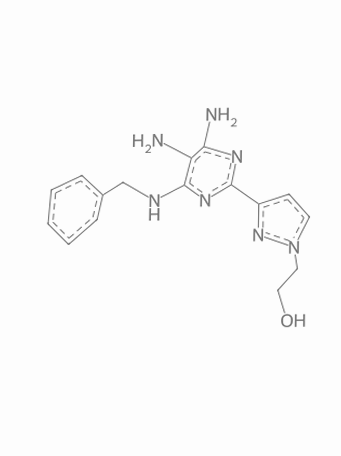 Nc1nc(-c2ccn(CCO)n2)nc(NCc2ccccc2)c1N